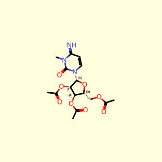 CC(=O)OC[C@H]1O[C@@H](n2ccc(=N)n(C)c2=O)[C@H](OC(C)=O)[C@@H]1OC(C)=O